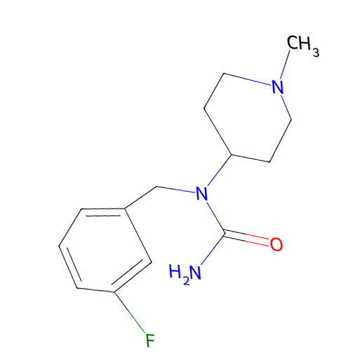 CN1CCC(N(Cc2cccc(F)c2)C(N)=O)CC1